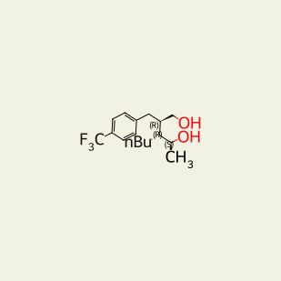 CCCC[C@H]([C@H](CO)Cc1ccc(C(F)(F)F)cc1)[C@H](C)O